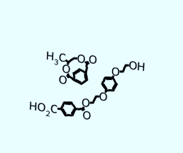 CC1COC(=O)c2ccc(cc2)C(=O)O1.O=C(O)c1ccc(C(=O)OCCOc2ccc(OCCO)cc2)cc1